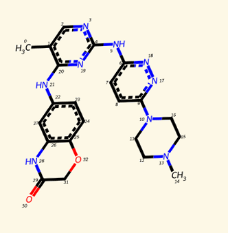 Cc1cnc(Nc2ccc(N3CCN(C)CC3)nn2)nc1Nc1ccc2c(c1)NC(=O)CO2